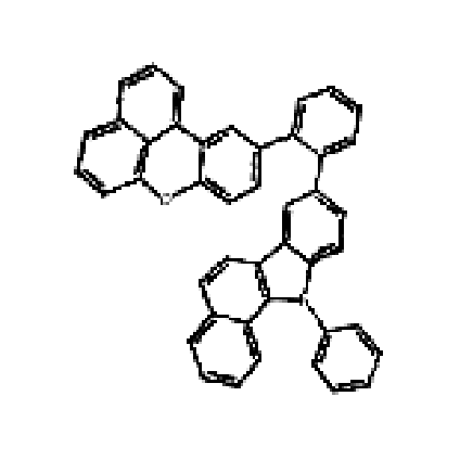 c1ccc(-n2c3ccc(-c4ccccc4-c4ccc5c(c4)-c4cccc6cccc(c46)O5)cc3c3ccc4ccccc4c32)cc1